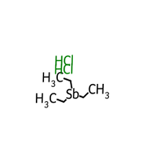 C[CH2][Sb]([CH2]C)[CH2]C.Cl.Cl